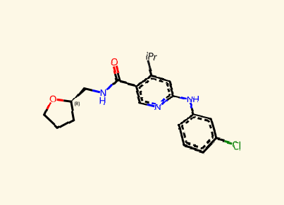 CC(C)c1cc(Nc2cccc(Cl)c2)ncc1C(=O)NC[C@H]1CCCO1